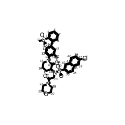 CS(=O)(=O)c1ccccc1-c1ccc(N2CCCC(N(CC(=O)N3CCOCC3)S(=O)(=O)c3ccc4cc(Cl)ccc4c3)C2=O)c(F)c1